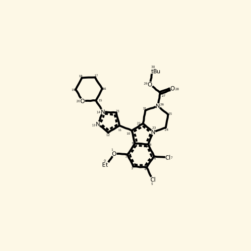 CCOc1cc(Cl)c(Cl)c2c1c(-c1cnn(C3CCCCO3)c1)c1n2CCN(C(=O)OC(C)(C)C)C1